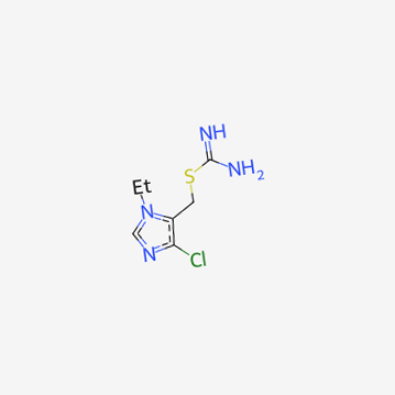 CCn1cnc(Cl)c1CSC(=N)N